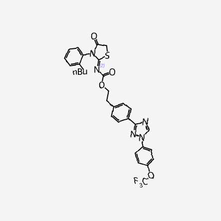 CCCCc1ccccc1N1C(=O)CS/C1=N\C(=O)OCCc1ccc(-c2ncn(-c3ccc(OC(F)(F)F)cc3)n2)cc1